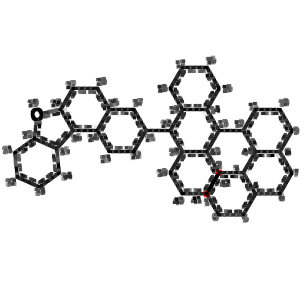 c1ccc2c(c1)ccc1cccc(-c3c4ccccc4c(-c4ccc5c(ccc6oc7ccccc7c65)c4)c4ccccc34)c12